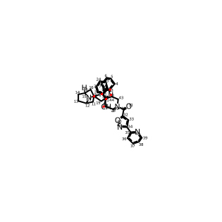 Cc1nc2ccccc2n1C1CC2CC[C@H](C1)N2CCC1(c2ccccc2)CCN(C(=O)c2cc(-c3ccccn3)no2)CC1